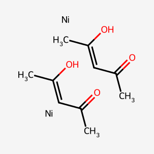 CC(=O)/C=C(/C)O.CC(=O)/C=C(/C)O.[Ni].[Ni]